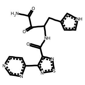 NC(=O)C(=O)C(Cc1cc[nH]c1)NC(=O)c1nsnc1-c1ccncn1